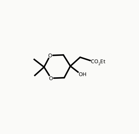 CCOC(=O)CC1(O)COC(C)(C)OC1